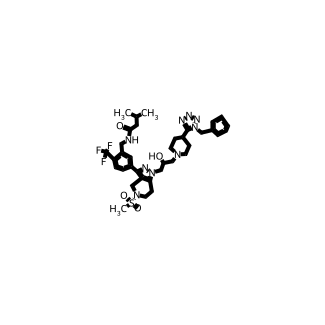 CC(C)CC(=O)NCc1cc(-c2nn(CC(O)CN3CCC(c4nnnn4Cc4ccccc4)CC3)c3c2CN(S(C)(=O)=O)CC3)ccc1C(F)(F)F